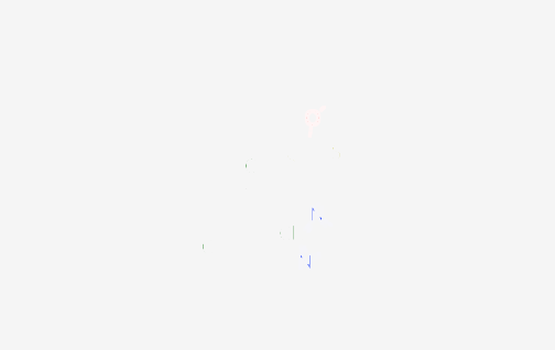 CC(C)OC(=S)SC(Cn1ccnc1)c1c(Cl)cc(Cl)cc1Cl